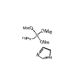 C1=NC=NC1.CCC[Si](OC)(OC)OC